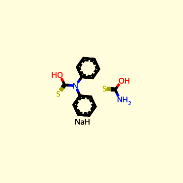 NC(O)=S.OC(=S)N(c1ccccc1)c1ccccc1.[NaH]